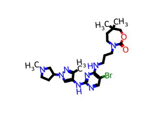 Cc1nn(C2CCN(C)C2)cc1Nc1ncc(Br)c(NCCCN2CCC(C)(C)COC2=O)n1